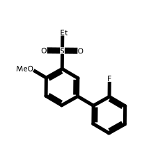 CCS(=O)(=O)c1cc(-c2ccccc2F)ccc1OC